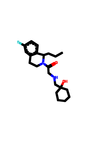 CCCC1c2ccc(F)cc2CCN1C(=O)CNCC1(O)CCCCC1